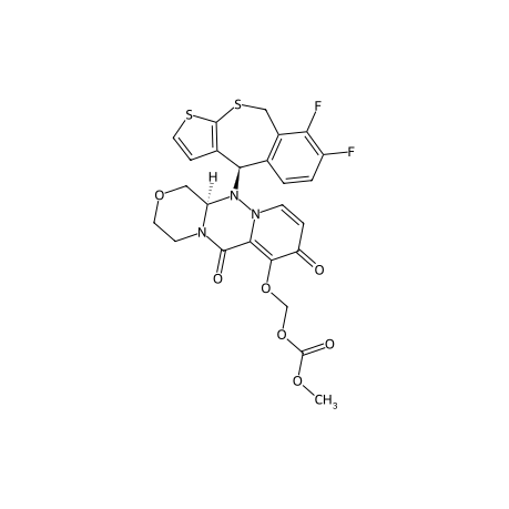 COC(=O)OCOc1c2n(ccc1=O)N([C@H]1c3ccsc3SCc3c1ccc(F)c3F)[C@@H]1COCCN1C2=O